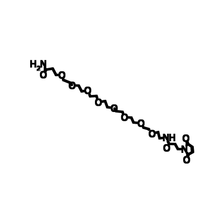 NC(=O)CCOCCOCCOCCOCCOCCOCCOCCOCCNC(=O)CCN1C(=O)C=CC1=O